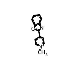 C[n+]1ccc(-c2nc3ccccc3o2)cc1